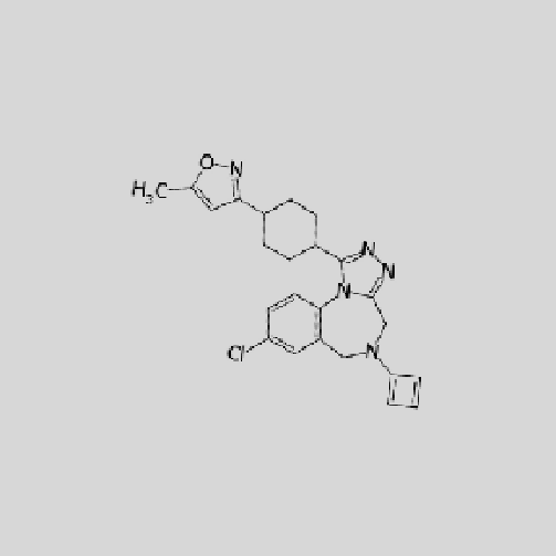 Cc1cc(C2CCC(c3nnc4n3-c3ccc(Cl)cc3CN(C3=CC=C3)C4)CC2)no1